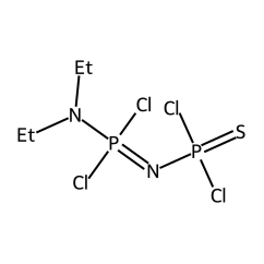 CCN(CC)P(Cl)(Cl)=NP(=S)(Cl)Cl